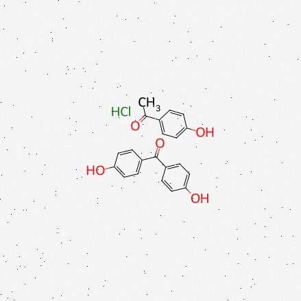 CC(=O)c1ccc(O)cc1.Cl.O=C(c1ccc(O)cc1)c1ccc(O)cc1